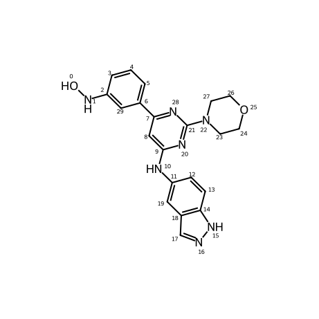 ONc1cccc(-c2cc(Nc3ccc4[nH]ncc4c3)nc(N3CCOCC3)n2)c1